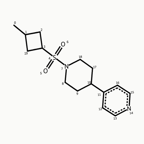 CC1CC(S(=O)(=O)N2CCC(c3ccncc3)CC2)C1